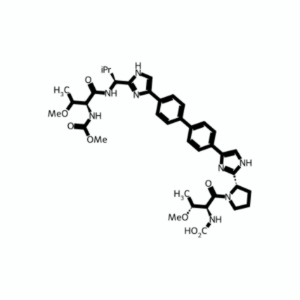 COC(=O)N[C@H](C(=O)N[C@H](c1nc(-c2ccc(-c3ccc(-c4c[nH]c([C@@H]5CCCN5C(=O)[C@@H](NC(=O)O)[C@@H](C)OC)n4)cc3)cc2)c[nH]1)C(C)C)C(C)OC